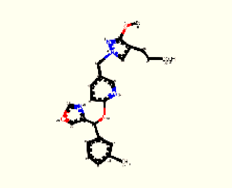 CCOc1nn(Cc2ccc(OC(c3cccc(C)c3)c3cocn3)nc2)cc1CCC(=O)O